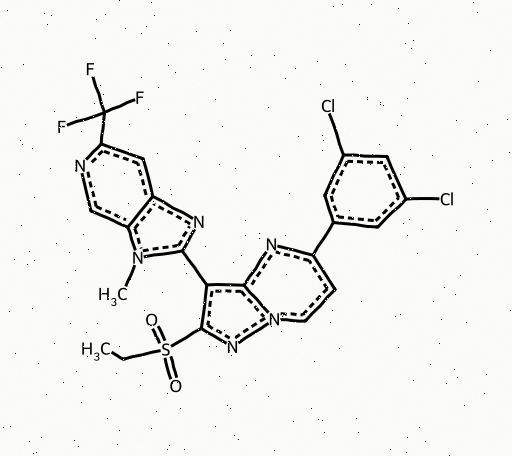 CCS(=O)(=O)c1nn2ccc(-c3cc(Cl)cc(Cl)c3)nc2c1-c1nc2cc(C(F)(F)F)ncc2n1C